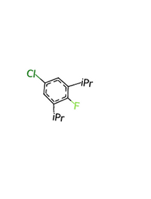 CC(C)c1cc(Cl)cc(C(C)C)c1F